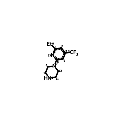 CCc1cc(C(F)(F)F)cc(N2CCNCC2)n1